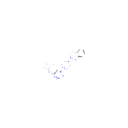 c1ccc2c(c1)CCN(C1CCN(c3cc(NC4CCC4)ncn3)CC1)C2